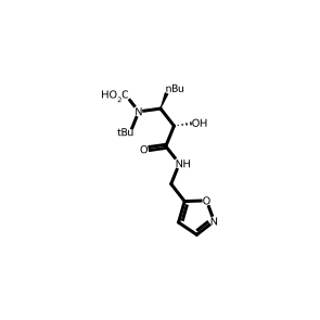 CCCC[C@@H]([C@H](O)C(=O)NCc1ccno1)N(C(=O)O)C(C)(C)C